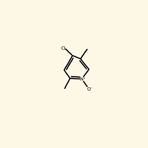 Cc1c[n+]([O-])c(C)cc1Cl